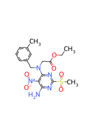 CCOC(=O)CN(Cc1cccc(C)c1)c1nc(S(C)(=O)=O)nc(N)c1[N+](=O)[O-]